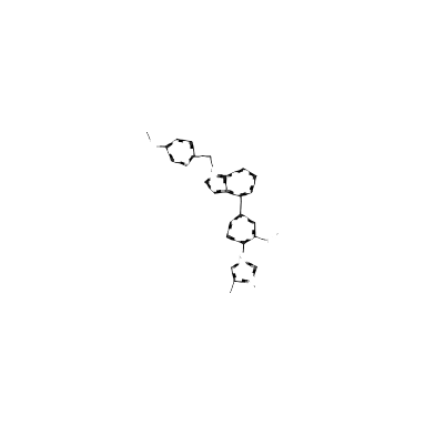 COc1ccc(Cn2ccc3c(-c4ccc(-n5cnc(C)c5)c(OC)c4)cccc32)cc1